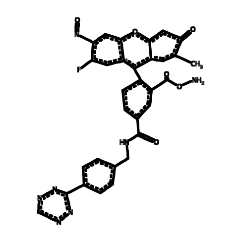 Cc1cc2c(-c3ccc(C(=O)NCc4ccc(-c5nncnn5)cc4)cc3C(=O)ON)c3cc(F)c(N=O)cc3oc-2cc1=O